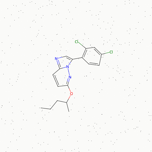 [CH2]CCC(C)Oc1ccc2ncc(-c3ccc(Cl)cc3Cl)n2n1